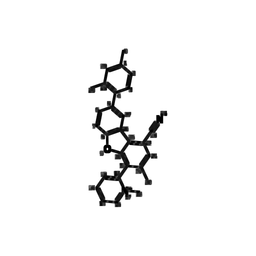 Cc1ccc(-c2ccc3oc4c(-c5cccc[n+]5C)c(C)cc(C#N)c4c3c2)c(C)c1